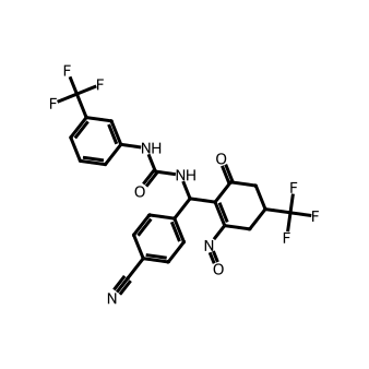 N#Cc1ccc(C(NC(=O)Nc2cccc(C(F)(F)F)c2)C2=C(N=O)CC(C(F)(F)F)CC2=O)cc1